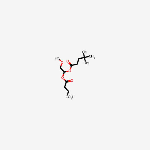 CC(C)OCC(OC(=O)CCC(=O)O)OC(=O)CCC(C)(C#N)C(C)C